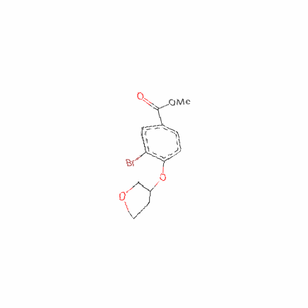 COC(=O)c1ccc(OC2CCOC2)c(Br)c1